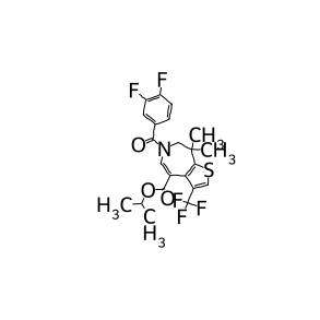 CC(C)OC(=O)C1=CN(C(=O)c2ccc(F)c(F)c2)CC(C)(C)c2scc(C(F)(F)F)c21